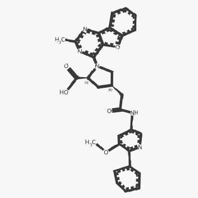 COc1cc(NC(=O)C[C@H]2C[C@@H](C(=O)O)N(c3nc(C)nc4c3oc3ccccc34)C2)cnc1-c1ccccc1